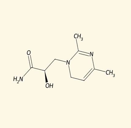 CC1=CCN(C[C@@H](O)C(N)=O)C(C)=N1